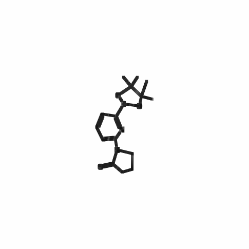 CC1(C)OB(c2cccc(N3CCCC3=O)n2)OC1(C)C